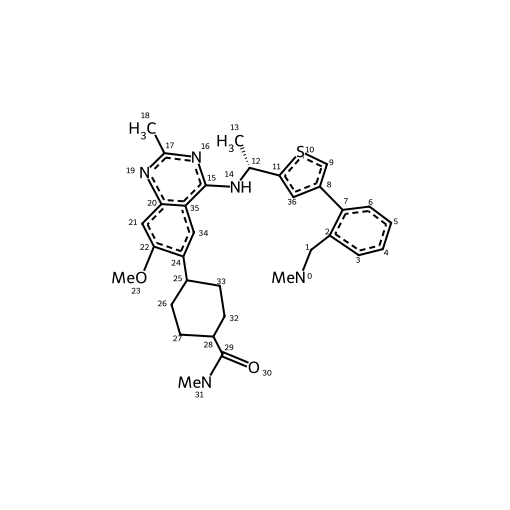 CNCc1ccccc1-c1csc([C@@H](C)Nc2nc(C)nc3cc(OC)c(C4CCC(C(=O)NC)CC4)cc23)c1